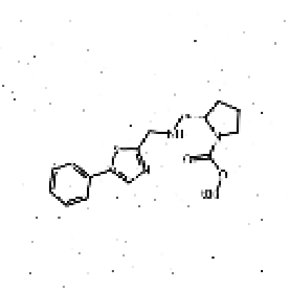 CC(C)(C)OC(=O)N1CCC[C@H]1CNCc1ncc(-c2ccccc2)s1